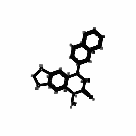 CC(C)N1C(=O)NC(c2cnc3ccccc3c2)c2cc3c(cc21)OCO3